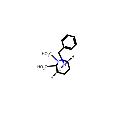 O=C(O)C1[C@H]2CC[C@@H](CN1C(=O)O)N(Cc1ccccc1)C2